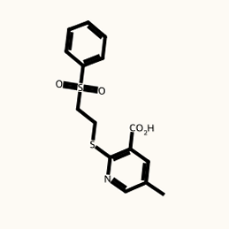 Cc1cnc(SCCS(=O)(=O)c2ccccc2)c(C(=O)O)c1